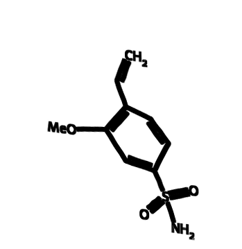 C=Cc1ccc(S(N)(=O)=O)cc1OC